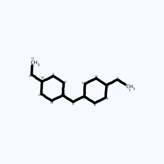 CCC1CCC(CC2CCC(CC)CC2)CC1